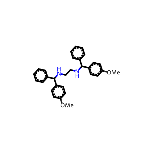 COc1ccc(C(NCCNC(c2ccccc2)c2ccc(OC)cc2)c2ccccc2)cc1